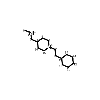 CNCC1CCN(CCC2CCCCC2)CC1